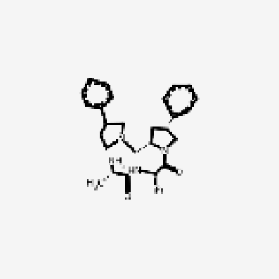 CC(C)[C@@H](NC(=O)[C@H](C)N)C(=O)N1C[C@@H](c2ccccc2)C[C@H]1CN1CCC(c2ccccc2)C1